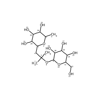 CC1OC(CC(C)(C)OC2OC(CO)C(O)C(O)C2O)C(O)C(O)C1O